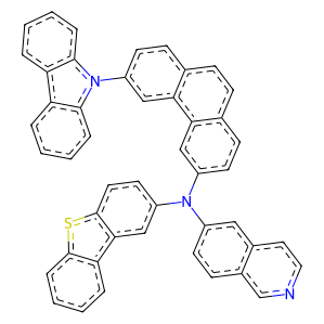 c1ccc2c(c1)sc1ccc(N(c3ccc4cnccc4c3)c3ccc4ccc5ccc(-n6c7ccccc7c7ccccc76)cc5c4c3)cc12